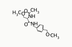 COCc1ccc(CNC(=O)C(COC)NC(C)=O)cc1